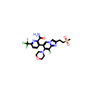 CS(=O)(=O)CCc1cn2cc(-c3ccc(C(F)(F)F)nc3C(N)=O)c(N3CCOCC3)c(F)c2n1